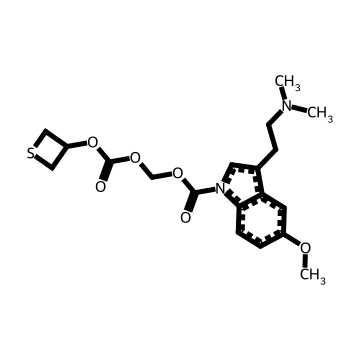 COc1ccc2c(c1)c(CCN(C)C)cn2C(=O)OCOC(=O)OC1CSC1